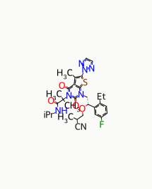 CCc1ccc(F)cc1[C@@H](Cn1c(=O)n(C(C)(C)C(=O)NC(C)C)c(=O)c2c(C)c(-n3nccn3)sc21)OCC(C)C#N